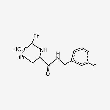 CCC(NC(CC(C)C)C(=O)NCc1cccc(F)c1)C(=O)O